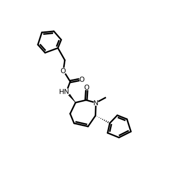 CN1C(=O)[C@H](NC(=O)OCc2ccccc2)CC=C[C@H]1c1ccccc1